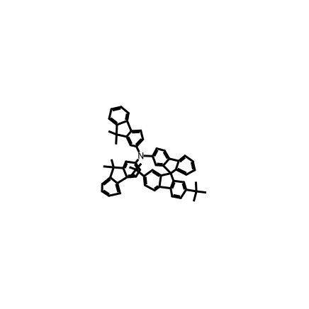 CC(C)(C)c1ccc2c(c1)C1(c3ccccc3-c3ccc(N(c4ccc5c(c4)C(C)(C)c4ccccc4-5)c4ccc5c(c4)C(C)(C)c4ccccc4-5)cc31)c1cc(C(C)(C)C)ccc1-2